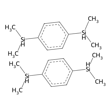 C[SiH](C)c1ccc([SiH](C)C)cc1.C[SiH](C)c1ccc([SiH](C)C)cc1